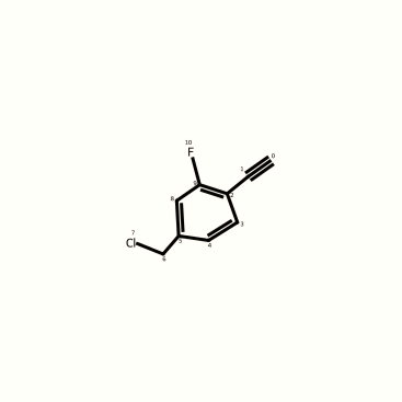 C#Cc1ccc(CCl)cc1F